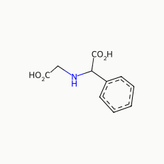 O=C(O)CNC(C(=O)O)c1ccccc1